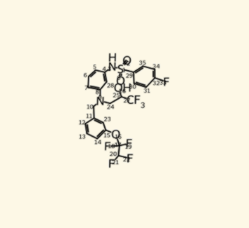 O=S(=O)(Nc1cccc(N(Cc2cccc(OC(F)(F)C(F)F)c2)CC(O)C(F)(F)F)c1)c1ccc(F)cc1